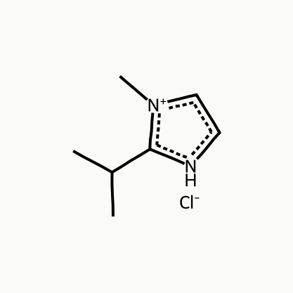 CC(C)c1[nH]cc[n+]1C.[Cl-]